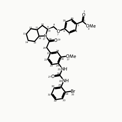 COC(=O)c1ccc(OC[C@@H]2CC3CCCCC3N2C(=O)Cc2ccc(NC(=O)Nc3ccccc3Br)c(OC)c2)cc1